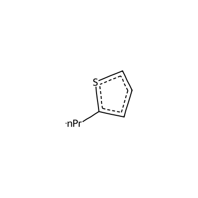 CC[CH]c1cccs1